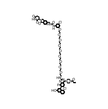 C=CC(=O)N1CCN(c2nc(NCCOCCOCCOCCOCCOCCOCCOCCOCCOc3cc(Cl)cc(NC(=O)NCc4ccc5c(c4)CN(C4CCC(=O)NC4=O)C5=O)c3)nc3c(F)c(-c4cc(O)cc5ccccc45)c(Cl)cc23)CC1